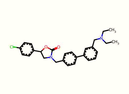 CCN(CC)Cc1cccc(-c2ccc(CN3CC(c4ccc(Cl)cc4)OC3=O)cc2)c1